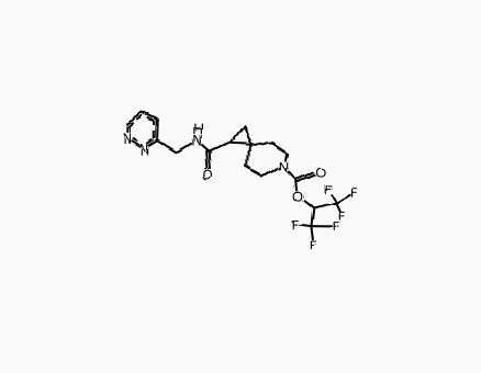 O=C(NCc1cccnn1)C1CC12CCN(C(=O)OC(C(F)(F)F)C(F)(F)F)CC2